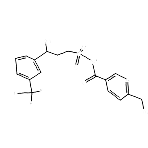 O=C(NS(=O)(=O)CCC(O)c1cccc(C(F)(F)F)c1)c1ccc(CO)nc1